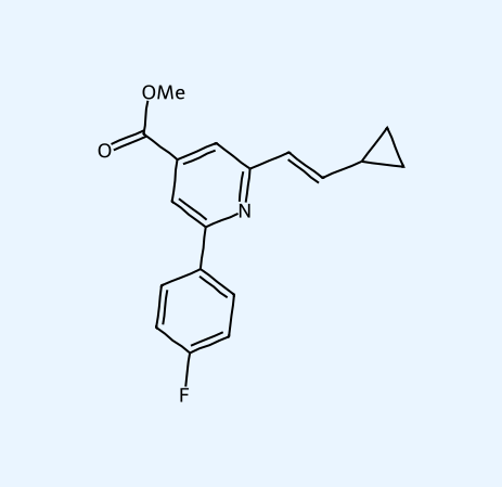 COC(=O)c1cc(C=CC2CC2)nc(-c2ccc(F)cc2)c1